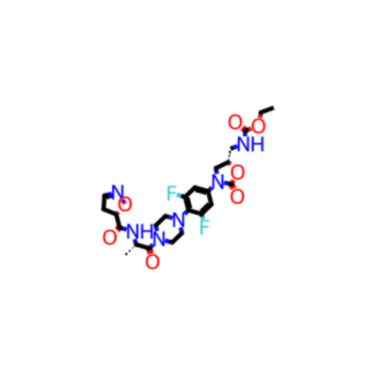 CCOC(=O)NC[C@H]1CN(c2cc(F)c(N3CCN(C(=O)[C@H](C)NC(=O)C4CC=NO4)CC3)c(F)c2)C(=O)O1